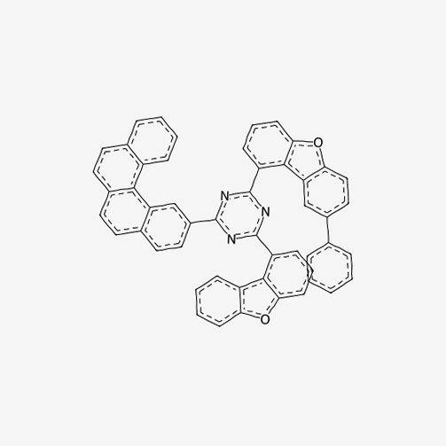 c1ccc(-c2ccc3oc4cccc(-c5nc(-c6ccc7ccc8ccc9ccccc9c8c7c6)nc(-c6cccc7oc8ccccc8c67)n5)c4c3c2)cc1